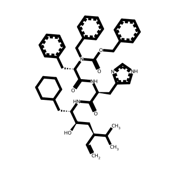 C=C[C@@H](C[C@@H](O)[C@H](CC1CCCCC1)NC(=O)[C@H](Cc1c[nH]cn1)NC(=O)[C@H](Cc1ccccc1)N(Cc1ccccc1)C(=O)OCc1ccccc1)C(C)C